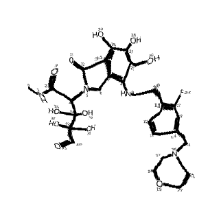 CNC(=O)C(N1Cc2c(NCc3ccc(CN4CCOCC4)cc3F)c(O)c(O)c(O)c2C1=O)C(O)(O)C(O)(O)C=O